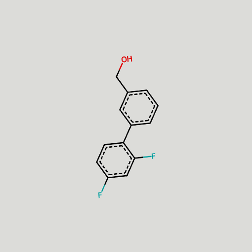 OCc1cccc(-c2ccc(F)cc2F)c1